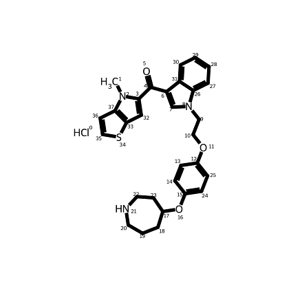 Cl.Cn1c(C(=O)c2cn(CCOc3ccc(OC4CCCNCC4)cc3)c3ccccc23)cc2sccc21